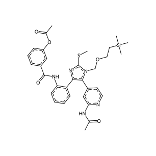 CSc1nc(-c2ccccc2NC(=O)c2cccc(OC(C)=O)c2)c(-c2ccnc(NC(C)=O)c2)n1COCC[Si](C)(C)C